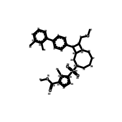 COCC1C(c2ccc(-c3cccc(C)c3C)cc2)C2CN(S(=O)(=O)c3ccc(C(=O)OC)n3C)CCCCN12